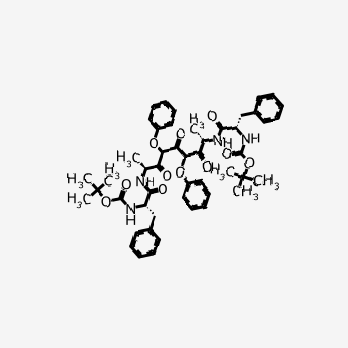 C[C@H](NC(=O)[C@H](Cc1ccccc1)NC(=O)OC(C)(C)C)C(=O)C(Oc1ccccc1)C(=O)C(Oc1ccccc1)C(=O)[C@H](C)NC(=O)[C@H](Cc1ccccc1)NC(=O)OC(C)(C)C